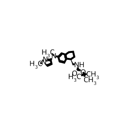 CN(c1ccc2c(c1)CCC[C@H]2CNC(=O)OC(C)(C)C)c1ccn(C)n1